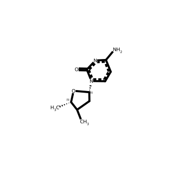 CC1C[C@@H](n2ccc(N)nc2=O)O[C@H]1C